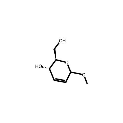 COC1C=C[C@H](O)[C@@H](CO)O1